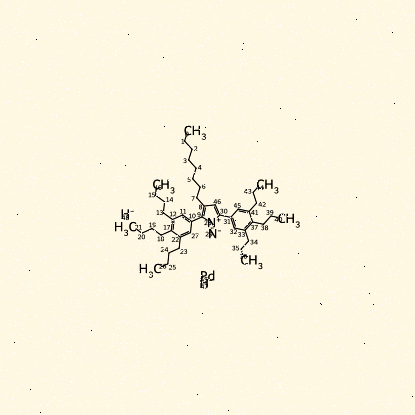 CCCCCCCCC1=C(c2cc(CCCC)c(CCCC)c(CCCC)c2)[N+](=[N-])C(c2cc(CCC)c(CCC)c(CCC)c2)=C1.[H-].[H-].[Pd]